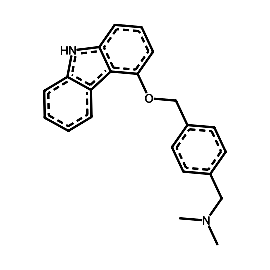 CN(C)Cc1ccc(COc2cccc3[nH]c4ccccc4c23)cc1